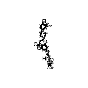 COc1cc(N2CCN(C(=O)Cn3c(=O)oc4cc(OCCNC(=O)OC(C)(C)C)ccc43)CC2)ccc1Cl